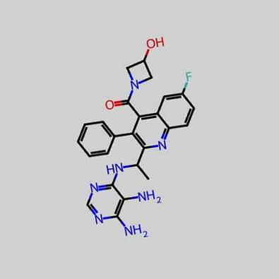 CC(Nc1ncnc(N)c1N)c1nc2ccc(F)cc2c(C(=O)N2CC(O)C2)c1-c1ccccc1